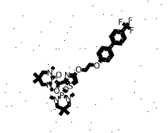 CN1CC(C)(C)CN(C)P1(=O)OC(c1nc(OCCOc2ccc(-c3ccc(C(F)(F)F)cc3)cc2)cs1)P1(=O)N(C)CC(C)(C)CN1C